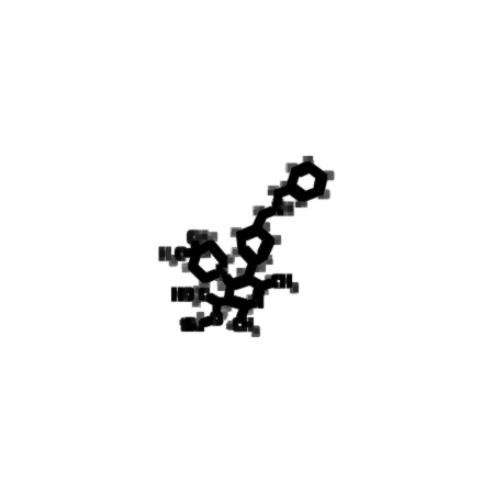 Cc1nc(C)c(C(OC(C)(C)C)C(=O)O)c(N2CCC(C)(C)CC2)c1-c1ccc(CNCc2ccccc2)cc1